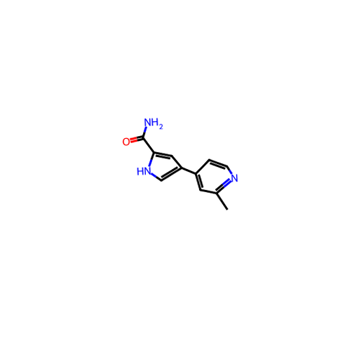 Cc1cc(-c2c[nH]c(C(N)=O)c2)ccn1